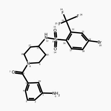 Nc1cccc(C(=O)N2CCC(NS(=O)(=O)c3ccc(Br)cc3C(F)(F)F)CC2)c1